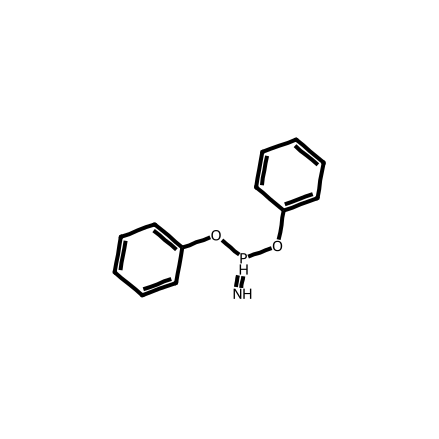 N=[PH](Oc1ccccc1)Oc1ccccc1